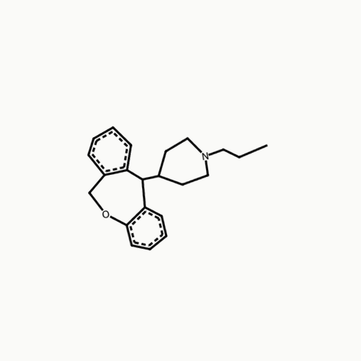 CCCN1CCC(C2c3ccccc3COc3ccccc32)CC1